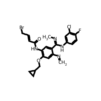 C=Nc1cc(OCC2CC2)c(NC(=O)/C=C/CBr)cc1/C(=N\C)Nc1ccc(F)c(Cl)c1